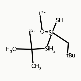 CC(C)O[Si](S)(CC(C)(C)C)[SiH2]C(C)(C)C(C)C